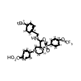 CC(C)(C)c1ccc(CNC(=O)C2CN(c3ccc(C(=O)O)nc3)CCN2S(=O)(=O)c2ccc(OC(F)(F)F)cc2)cc1